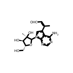 C/C(=C/C=O)c1cn(C2O[C@H](CO)[C@@H](O)[C@@]2(C)O)c2ncnc(N)c12